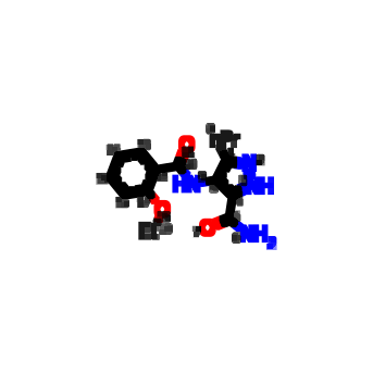 CCCc1n[nH]c(C(N)=O)c1NC(=O)c1ccccc1OCC